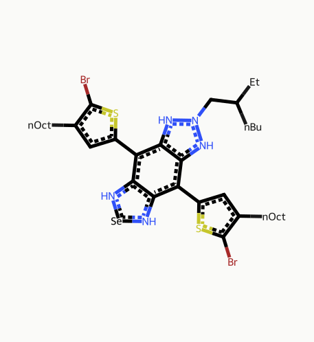 CCCCCCCCc1cc(-c2c3[nH][se][nH]c3c(-c3cc(CCCCCCCC)c(Br)s3)c3[nH]n(CC(CC)CCCC)[nH]c23)sc1Br